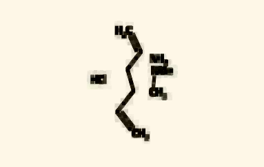 C=CCCC=C.CNC.Cl.N